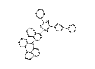 c1ccc(-c2ccc(-c3nc(-c4ccccc4)nc(-c4ccc(N5c6ccccc6-c6cccc7cccc5c67)c5ccccc45)n3)cc2)cc1